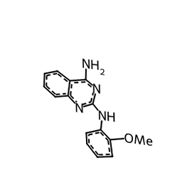 COc1ccccc1Nc1nc(N)c2ccccc2n1